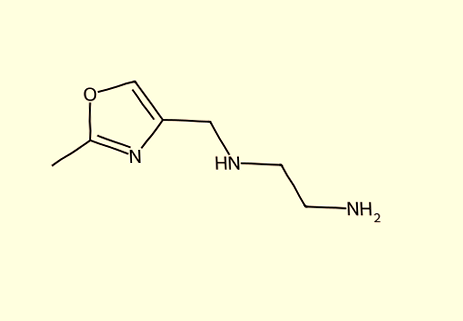 Cc1nc(CNCCN)co1